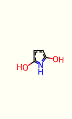 Oc1ccc(O)[nH]1